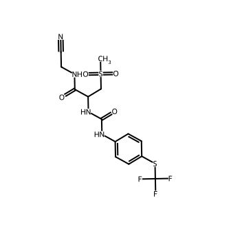 CS(=O)(=O)CC(NC(=O)Nc1ccc(SC(F)(F)F)cc1)C(=O)NCC#N